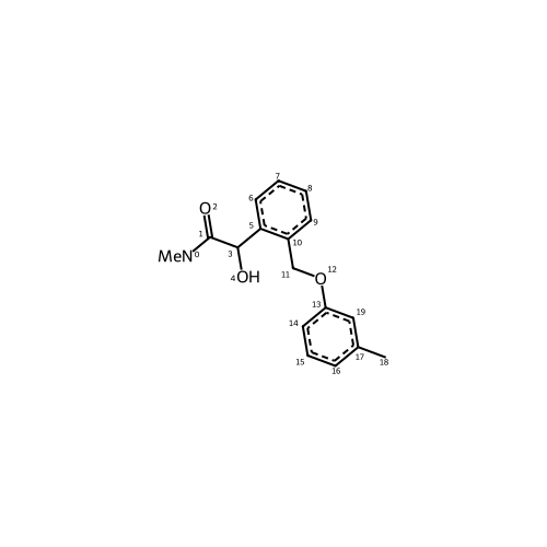 CNC(=O)C(O)c1ccccc1COc1cccc(C)c1